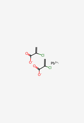 C=C(Cl)C(=O)[O-].C=C(Cl)C(=O)[O-].[Pb+2]